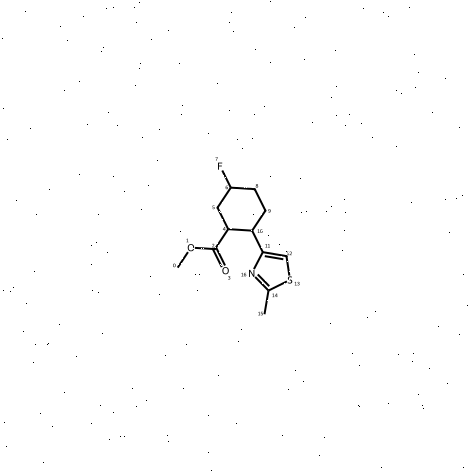 COC(=O)C1CC(F)CCC1c1csc(C)n1